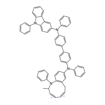 CC1/C=C\C=C/Cc2cc(N(c3ccccc3)c3ccc(-c4ccc(N(c5ccccc5)c5ccc6c(c5)c5ccccc5n6-c5ccccc5)cc4)cc3)ccc2N1c1ccccc1